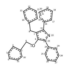 c1ccc(COc2c(Cc3ccccc3)c(-c3ccccc3)nn2-c2ccccn2)cc1